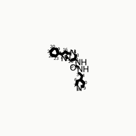 O=C(NCCc1ccncc1)Nc1cnc2cc(-c3ccccc3)nn2c1